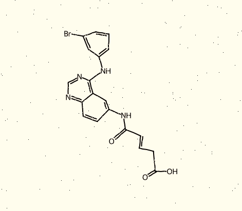 O=C(O)C/C=C/C(=O)Nc1ccc2ncnc(Nc3cccc(Br)c3)c2c1